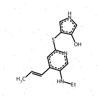 CC=Cc1cc(Sc2c[nH]cc2O)ncc1NCC